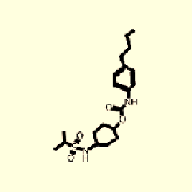 CCCCc1ccc(NC(=O)OC2CCC(NS(=O)(=O)C(C)C)CC2)cc1